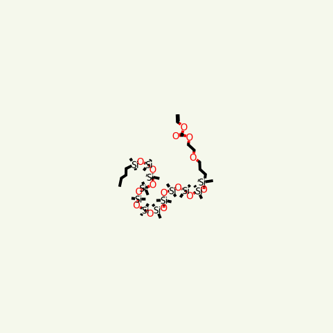 C=COC(=O)OCCOCCC[Si](C)(C)O[Si](C)(C)O[Si](C)(C)O[Si](C)(C)O[Si](C)(C)O[Si](C)(C)O[Si](C)(C)O[Si](C)(C)O[Si](C)(C)O[Si](C)(C)O[Si](C)(C)O[Si](C)(C)CCCC